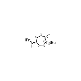 CC(C)NC1CC[C@H](C(C)(C)C)N(C)CC1